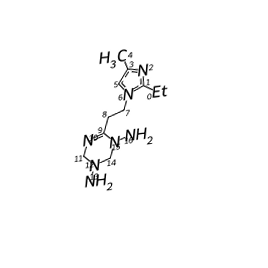 CCc1nc(C)cn1CCC1=NCN(N)CN1N